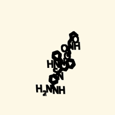 N=C(N)c1ccc2sc(C(Cc3cccc(OCC(=O)NCC4CCCO4)c3)c3nc4ccccc4[nH]3)nc2c1